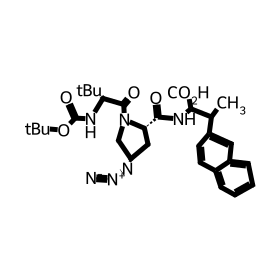 CC(c1ccc2ccccc2c1)C(NC(=O)[C@@H]1C[C@H](N=[N+]=[N-])CN1C(=O)[C@@H](NC(=O)OC(C)(C)C)C(C)(C)C)C(=O)O